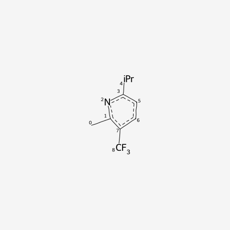 Cc1nc(C(C)C)ccc1C(F)(F)F